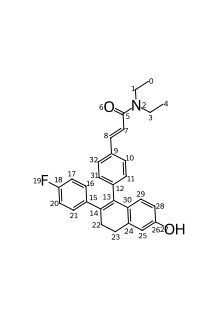 CCN(CC)C(=O)/C=C/c1ccc(C2=C(c3ccc(F)cc3)CCc3cc(O)ccc32)cc1